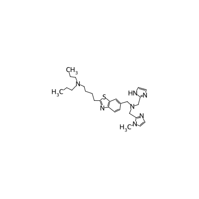 CCCN(CCC)CCCCc1nc2ccc(CN(Cc3ncc[nH]3)Cc3nccn3C)cc2s1